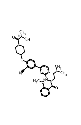 COc1ccccc1C(=O)N(CCN(C)C)Nc1nccc(-c2ccc(OC3CCN(C(=O)[C@H](C)O)CC3)c(C#N)c2)n1